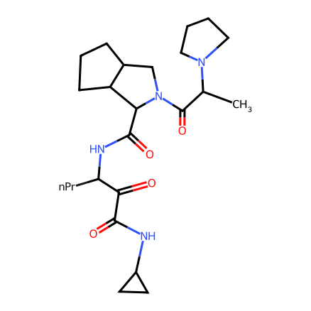 CCCC(NC(=O)C1C2CCCC2CN1C(=O)C(C)N1CCCC1)C(=O)C(=O)NC1CC1